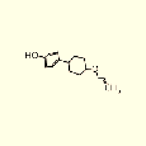 C=CCOC1CCC(c2ccc(O)cc2)CC1